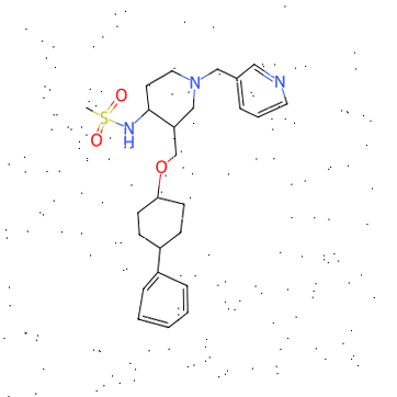 CS(=O)(=O)NC1CCN(Cc2cccnc2)CC1COC1CCC(c2ccccc2)CC1